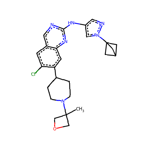 CC1(N2CCC(c3cc4nc(Nc5cnn(C67CC(C6)C7)c5)ncc4cc3Cl)CC2)COC1